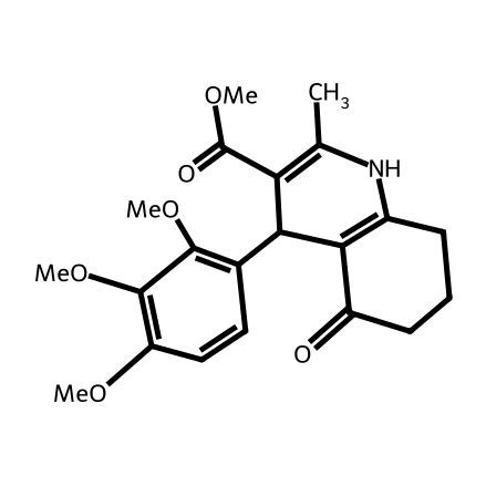 COC(=O)C1=C(C)NC2=C(C(=O)CCC2)C1c1ccc(OC)c(OC)c1OC